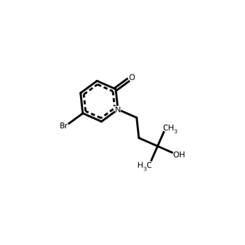 CC(C)(O)CCn1cc(Br)ccc1=O